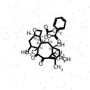 CC(=O)O[C@@]12CO[C@@H]1CC(O)[C@@]1(C)C(=O)C(=O)C3=C(C)[C@@H](O)C[C@@](O)([C@@H](OC(=O)c4ccccc4)[C@H]21)C3(C)C